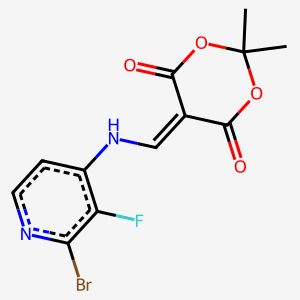 CC1(C)OC(=O)C(=CNc2ccnc(Br)c2F)C(=O)O1